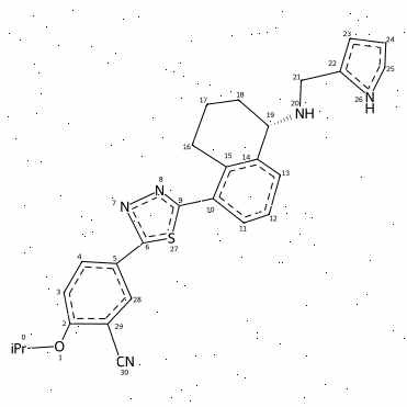 CC(C)Oc1ccc(-c2nnc(-c3cccc4c3CCC[C@@H]4NCc3ccc[nH]3)s2)cc1C#N